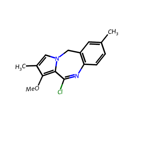 COc1c(C)cn2c1C(Cl)=Nc1ccc(C)cc1C2